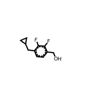 OCc1ccc(CC2CC2)c(F)c1F